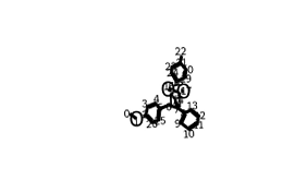 COc1ccc(C2C(c3ccccc3)N2S(=O)(=O)c2ccc(C)cc2)cc1